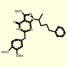 COc1ccc(Cc2nc3c(c(OC)nn3C(C)CCCc3ccccc3)c(=O)[nH]2)cc1OC